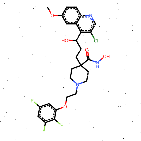 COc1ccc2ncc(Cl)c([C@H](O)CCC3(C(=O)NO)CCN(CCOc4cc(F)cc(F)c4F)CC3)c2c1